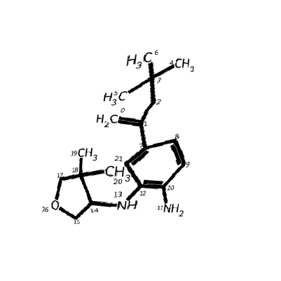 C=C(CC(C)(C)C)c1ccc(N)c(NC2COCC2(C)C)c1